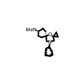 CN[C@H]1CC[C@@]2(CC1)CN(c1ccccc1)CC1(CC1)O2